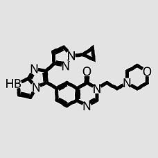 O=c1c2cc(-c3c(-c4ccn(C5CC5)n4)nc4n3C=CB4)ccc2ncn1CCN1CCOCC1